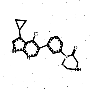 O=C1CNCCN1c1cccc(-c2cnc3[nH]cc(C4CC4)c3c2Cl)c1